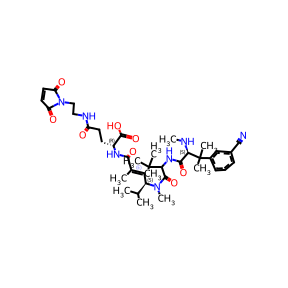 CN[C@H](C(=O)NC(C(=O)N(C)[C@H](/C=C(\C)C(=O)N[C@H](CCC(=O)NCCN1C(=O)C=CC1=O)C(=O)O)C(C)C)C(C)(C)C)C(C)(C)c1cccc(C#N)c1